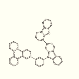 c1cc(-c2ccc3c4ccccc4c4ccccc4c3c2)cc(-n2c3ccccc3c3ccc(-c4cccc5c4oc4ccccc45)cc32)c1